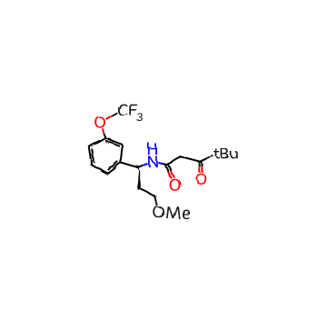 COCC[C@H](NC(=O)CC(=O)C(C)(C)C)c1cccc(OC(F)(F)F)c1